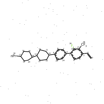 C=Cc1ccc(-c2ccc(C3CCC(C4CCC(CCC)CC4)CC3)cc2)c(F)c1C(F)(F)F